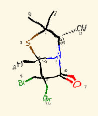 CC1(C)S[C@@H]2N(C(=O)C2(Br)Br)[C@H]1C#N